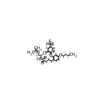 CCCCOc1ccc(CCCS(=O)(=O)NCCOC(C)C)c(Oc2ncc(C(F)(F)F)cc2Cl)c1